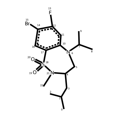 CC(C)CC1CN(C(C)C)c2cc(F)c(Br)cc2S(=O)(=O)N1C